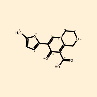 Cc1ccc(-c2cn3c(c(C(=O)O)c2=O)COCC3)s1